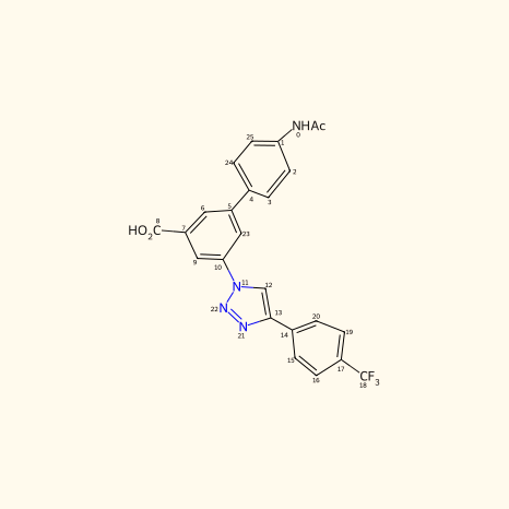 CC(=O)Nc1ccc(-c2cc(C(=O)O)cc(-n3cc(-c4ccc(C(F)(F)F)cc4)nn3)c2)cc1